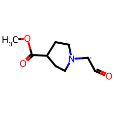 COC(=O)C1CCN([CH]C=O)CC1